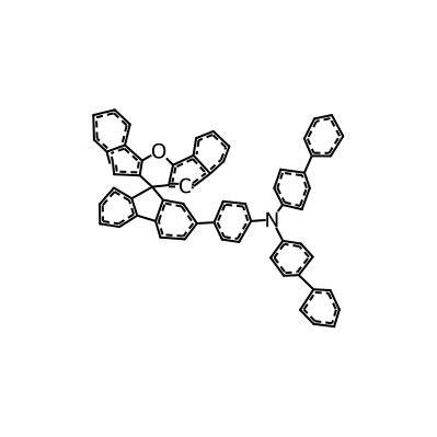 c1ccc(-c2ccc(N(c3ccc(-c4ccccc4)cc3)c3ccc(-c4ccc5c(c4)C4(c6ccccc6-5)c5ccc6ccccc6c5Oc5c4ccc4ccccc54)cc3)cc2)cc1